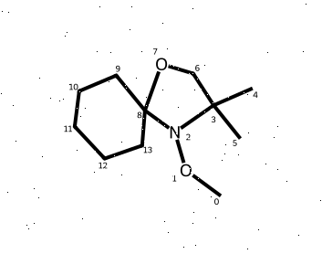 CON1C(C)(C)COC12CCCCC2